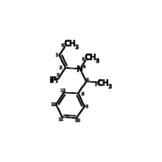 C/C=C(/C(C)C)N(C)C(C)c1ccccc1